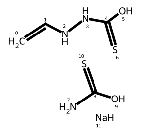 C=CNNC(O)=S.NC(O)=S.[NaH]